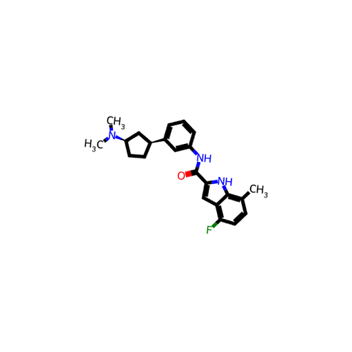 Cc1ccc(F)c2cc(C(=O)Nc3cccc([C@H]4CC[C@@H](N(C)C)C4)c3)[nH]c12